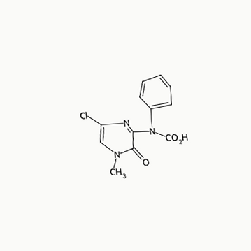 Cn1cc(Cl)nc(N(C(=O)O)c2ccccc2)c1=O